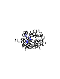 CC1(C)CCC(C)(C)c2cc(N3c4cc5c(cc4B4c6cc7c(cc6N(c6ccc8c(c6)C(C)(C)CC8(C)C)c6cc(N8c9ccccc9C9(C)CCCCC89C)cc3c64)C(C)(C)CC7(C)C)C(C)(C)CCC5(C)C)ccc21